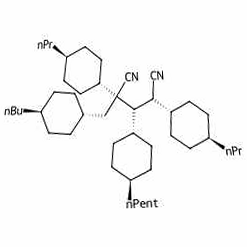 CCCCC[C@H]1CC[C@H](C(C(C#N)[C@H]2CC[C@H](CCC)CC2)C(C#N)(C[C@H]2CC[C@H](CCCC)CC2)[C@H]2CC[C@H](CCC)CC2)CC1